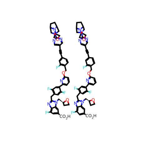 O=C(O)c1cc(F)c2nc(Cc3cc(F)c(-c4cccc(OCc5ccc(C#Cc6cnc(N7CC8CCC(C7)N8C7COC7)nc6)cc5F)n4)cc3F)n(C[C@@H]3CCO3)c2c1.O=C(O)c1cc(F)c2nc(Cc3cc(F)c(-c4cccc(OCc5ccc(C#Cc6cnc(N7CC8CCC(C7)N8C7COC7)nc6)cc5F)n4)cc3F)n(C[C@@H]3CCO3)c2c1